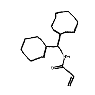 C=CC(=O)NC(C1CCCCC1)C1CCCCC1